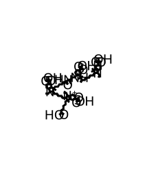 C=C(/C=C/C=C/C=C1/N(CC)c2ccc(S(=O)(=O)O)cc2C1(C)C)C(C)(C)c1cc(S(=O)(=O)O)ccc1NCCNC(=O)CCCCCC1(C)\C(=C/C=C/C=C/C2=[N+](CC)c3ccc(S(=O)(=O)O)cc3C2(C)CCCCCC(=O)O)N(CC)c2ccc(S(=O)(=O)O)cc21